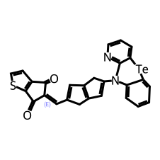 O=C1/C(=C\C2=CC3=C(C=C(N4c5ccccc5[Te]c5cccnc54)C3)C2)C(=O)c2sccc21